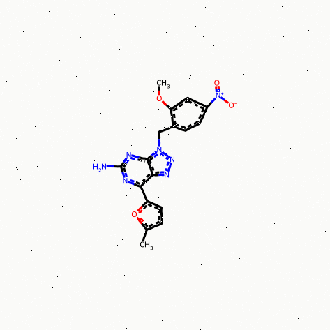 COc1cc([N+](=O)[O-])ccc1Cn1nnc2c(-c3ccc(C)o3)nc(N)nc21